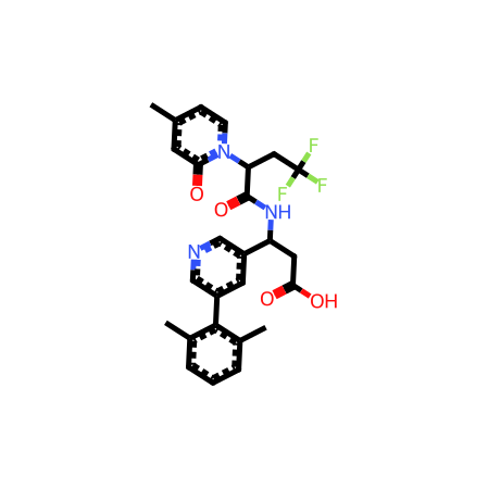 Cc1ccn(C(CC(F)(F)F)C(=O)NC(CC(=O)O)c2cncc(-c3c(C)cccc3C)c2)c(=O)c1